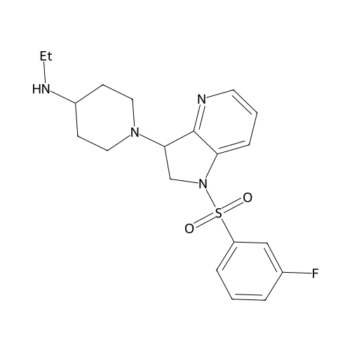 CCNC1CCN(C2CN(S(=O)(=O)c3cccc(F)c3)c3cccnc32)CC1